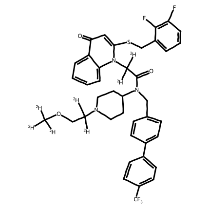 [2H]C([2H])([2H])OCC([2H])([2H])N1CCC(N(Cc2ccc(-c3ccc(C(F)(F)F)cc3)cc2)C(=O)C([2H])([2H])n2c(SCc3cccc(F)c3F)cc(=O)c3ccccc32)CC1